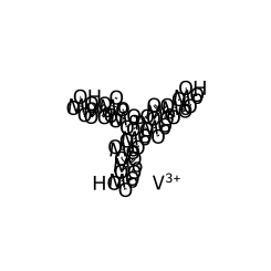 O=P([O][Mo](=[O])(=[O])[O][Mo](=[O])(=[O])[O][Mo](=[O])(=[O])[O][Mo](=[O])(=[O])[OH])([O][Mo](=[O])(=[O])[O][Mo](=[O])(=[O])[O][Mo](=[O])(=[O])[O][Mo](=[O])(=[O])[OH])[O][Mo](=[O])(=[O])[O][Mo](=[O])(=[O])[O][Mo](=[O])(=[O])[O][Mo](=[O])(=[O])[OH].[V+3]